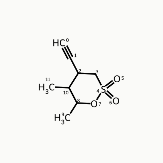 C#CC1CS(=O)(=O)OC(C)C1C